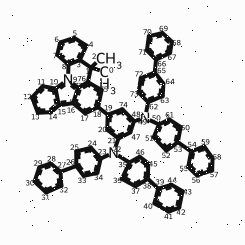 CC1(C)c2ccccc2-n2c3ccccc3c3cc(-c4cc(N(c5ccc(-c6ccccc6)cc5)c5ccc(-c6ccccc6)cc5)cc(N(c5ccc(-c6ccccc6)cc5)c5ccc(-c6ccccc6)cc5)c4)cc1c32